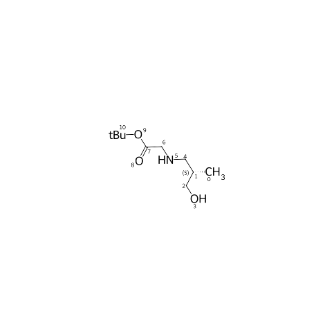 C[C@H](CO)CNCC(=O)OC(C)(C)C